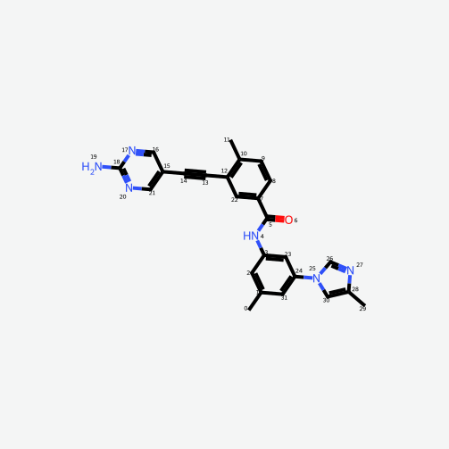 Cc1cc(NC(=O)c2ccc(C)c(C#Cc3cnc(N)nc3)c2)cc(-n2cnc(C)c2)c1